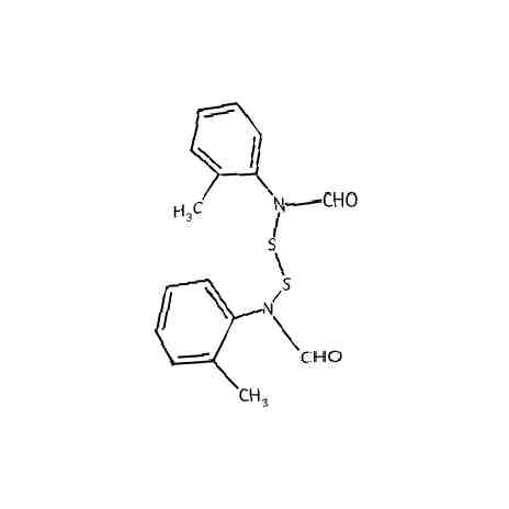 Cc1ccccc1N(C=O)SSN(C=O)c1ccccc1C